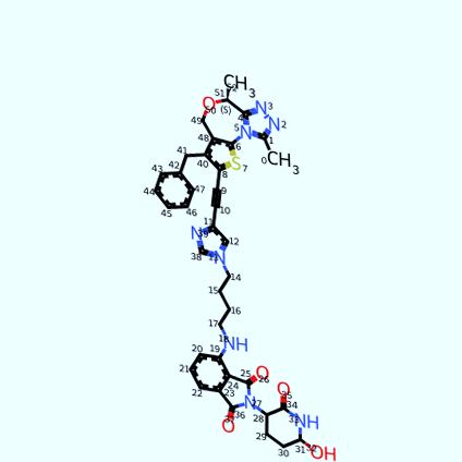 Cc1nnc2n1-c1sc(C#Cc3cn(CCCCNc4cccc5c4C(=O)N(C4CCC(O)NC4=O)C5=O)cn3)c(Cc3ccccc3)c1CO[C@H]2C